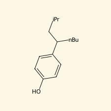 CCCCC(CC(C)C)c1ccc(O)cc1